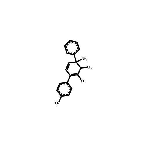 Nc1ccc(C2=C(C(F)(F)F)C(C(F)(F)F)C(N)(c3ccccc3)C=C2)cc1